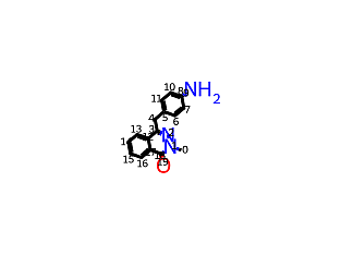 Cn1nc(Cc2ccc(N)cc2)c2ccccc2c1=O